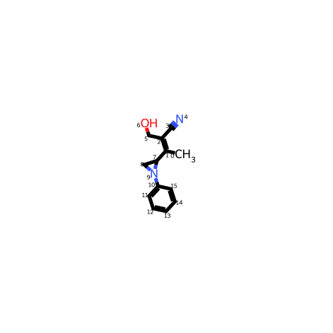 C/C(=C(\C#N)CO)C1CN1c1ccccc1